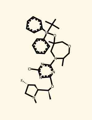 CC1COCC(C)(O[Si](c2ccccc2)(c2ccccc2)C(C)(C)C)CN1c1nc(Cl)nc(O[C@@H](C)[C@@H]2C[C@@H](F)CN2C)n1